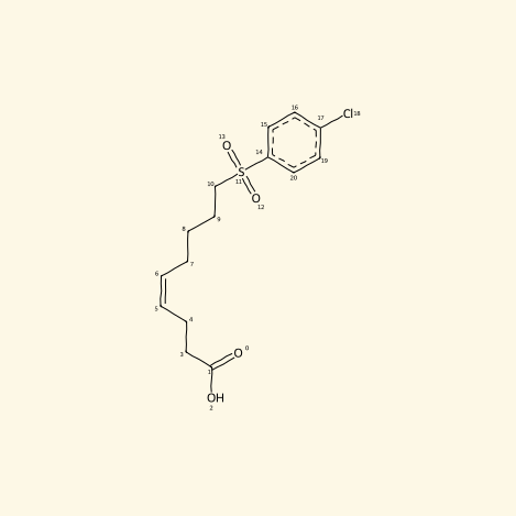 O=C(O)CC/C=C\CCCCS(=O)(=O)c1ccc(Cl)cc1